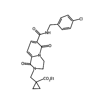 CCOC(=O)C1(CN2CCn3c(ccc(C(=O)NCc4ccc(Cl)cc4)c3=O)C2=O)CC1